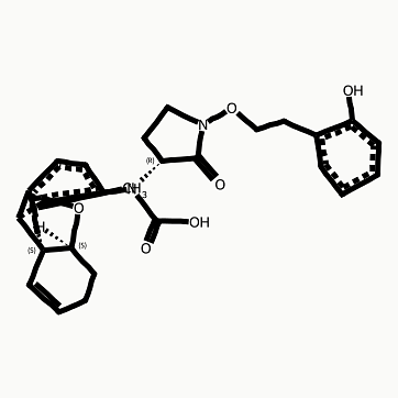 CN1CC[C@@]23C=CCC[C@@H]2Oc2c(N(C(=O)O)[C@@H]4CCN(OCCc5ccccc5O)C4=O)ccc(c23)C1